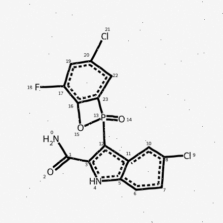 NC(=O)c1[nH]c2ccc(Cl)cc2c1P1(=O)Oc2c(F)cc(Cl)cc21